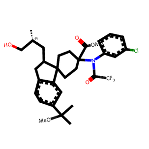 COC(=O)C1(N(C(=O)C(F)(F)F)c2cccc(Cl)c2)CCC2(CC1)c1cc(C(C)(C)OC)ccc1CC2C[C@@H](C)CO